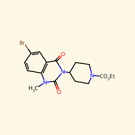 CCOC(=O)N1CCC(n2c(=O)c3cc(Br)ccc3n(C)c2=O)CC1